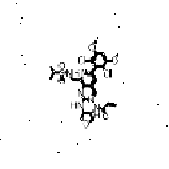 C=CC(=O)N[C@H]1COC[C@H]1Nc1ncc2cc(-c3c(Cl)c(OC)cc(OC)c3Cl)nc(CNS(=O)(=O)C(C)C)c2n1